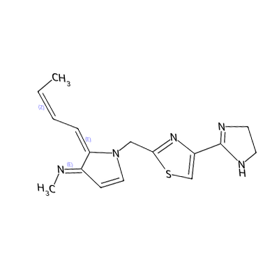 C\C=C/C=C1\C(=N\C)C=CN1Cc1nc(C2=NCCN2)cs1